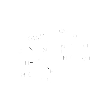 COC(=O)[C@@H]1[C@@H]2[C@H](CN1C(=O)[C@@H](NC(=O)C(C)(C)O)C(C)(C)C)C2(C)C